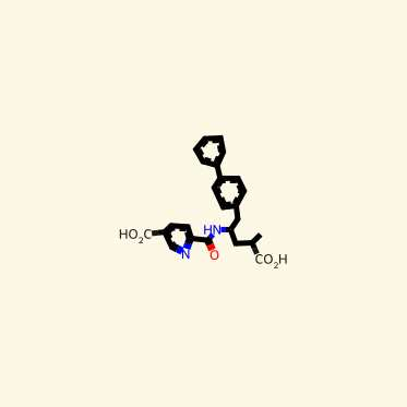 CC(CC(Cc1ccc(-c2ccccc2)cc1)NC(=O)c1ccc(C(=O)O)cn1)C(=O)O